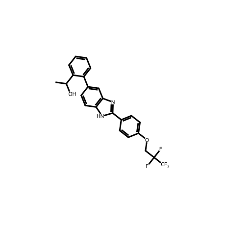 CC(O)c1ccccc1-c1ccc2[nH]c(-c3ccc(OCC(F)(F)C(F)(F)F)cc3)nc2c1